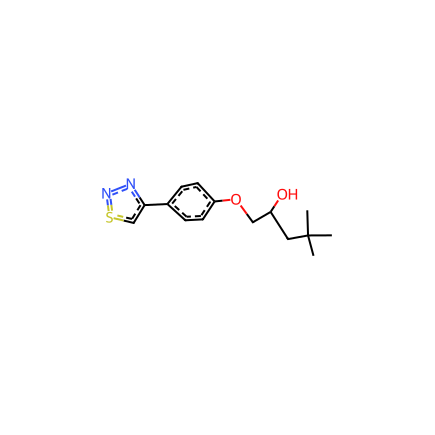 CC(C)(C)CC(O)COc1ccc(-c2csnn2)cc1